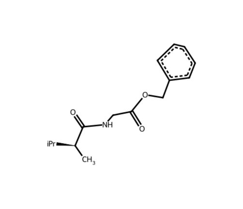 CC(C)[C@H](C)C(=O)NCC(=O)OCc1ccccc1